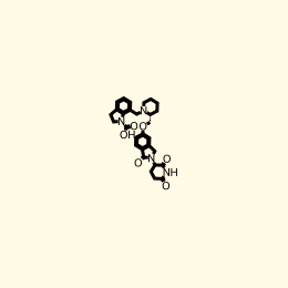 O=C1CCC(N2Cc3cc(OC[C@H]4CCCCN4Cc4cccc5c4N(C(=O)O)CC5)ccc3C2=O)C(=O)N1